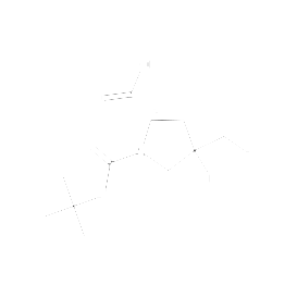 CC(C)(C)OC(=O)N1CC(F)(CF)C[C@H]1C(=O)O